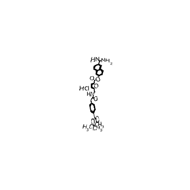 CC(C)(C)OC(=O)c1ccc(CC(=O)NCc2ccc(C(=O)Oc3ccc4cc(C(=N)N)ccc4c3)o2)cc1.Cl